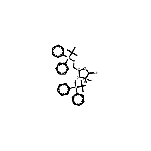 CC(C)(C)[Si](OC[C@H]1OC(O)[C@](F)(Br)[C@@H]1O[Si](c1ccccc1)(c1ccccc1)C(C)(C)C)(c1ccccc1)c1ccccc1